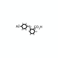 CC(=O)c1ccc(Sc2ccccc2C(=O)O)cc1